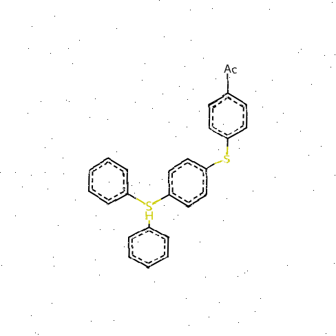 CC(=O)c1ccc(Sc2ccc([SH](c3ccccc3)c3ccccc3)cc2)cc1